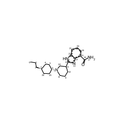 CCC[C@H]1CC[C@H](N2CCCC(c3nc4c(C(N)=O)cccc4[nH]3)C2)CC1